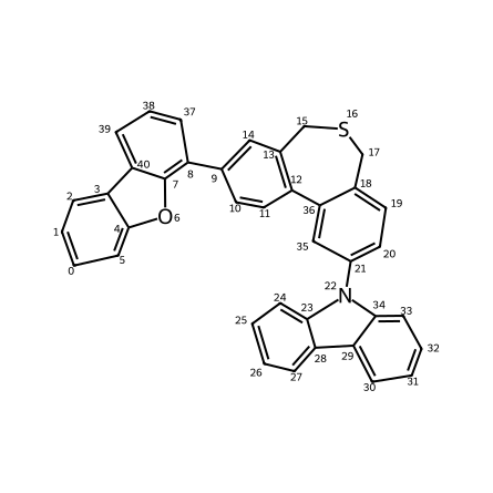 c1ccc2c(c1)oc1c(-c3ccc4c(c3)CSCc3ccc(-n5c6ccccc6c6ccccc65)cc3-4)cccc12